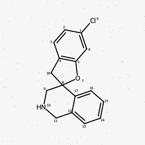 Clc1ccc2c(c1)OC1(CNCc3ccccc31)C2